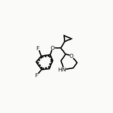 Fc1ccc(OC(C2CC2)C2CNCCO2)c(F)c1